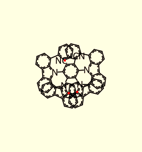 N#Cc1c(C#N)c(-n2c3c(-c4ccccc4)cccc3c3cccc(-c4ccccc4)c32)c(-n2c3ccccc3c3ccccc32)c(-n2c3ccccc3c3ccccc32)c1-n1c2c(-c3ccccc3)cccc2c2cccc(-c3ccccc3)c21